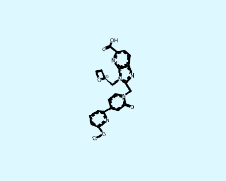 O=C(O)c1ccc2nc(Cn3ccc(-c4cccc(OCl)n4)cc3=O)n(C[C@@H]3CCO3)c2n1